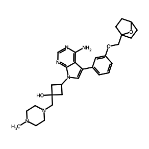 CN1CCN(CC2(O)CC(n3cc(-c4cccc(OCC56CCC(CC5)O6)c4)c4c(N)ncnc43)C2)CC1